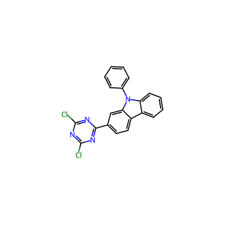 Clc1nc(Cl)nc(-c2ccc3c4ccccc4n(-c4ccccc4)c3c2)n1